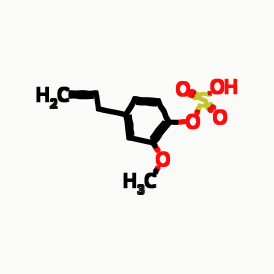 C=CCc1ccc(OS(=O)(=O)O)c(OC)c1